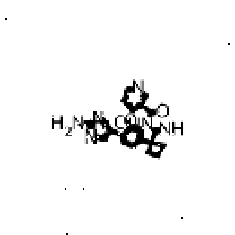 COc1ccncc1C(=O)NC(=N)C1(c2ccc(-c3cnc(N)nc3)cc2)CCC1